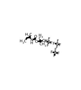 CCC(C)NC(=O)OC(C)(C)C.F[B-](F)(F)F.F[B-](F)(F)F.F[B-](F)(F)F